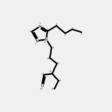 CCCCc1ncnn1CCCC(C=O)CC